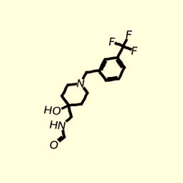 O=CNCC1(O)CCN(Cc2cccc(C(F)(F)F)c2)CC1